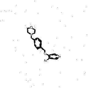 CC(=O)c1cscc1OCc1ccc(CN2CCOCC2)cc1